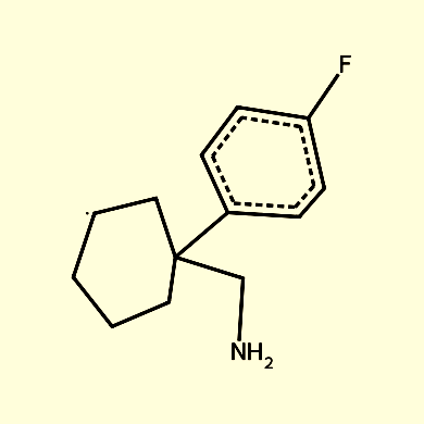 NCC1(c2ccc(F)cc2)C[CH]CCC1